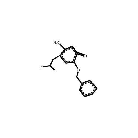 Cc1cc(=O)c(OCc2ccccc2)cn1CC(F)F